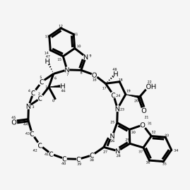 C[C@@H]1CN2CC[C@H]1n1c(nc3ccccc31)O[C@H]1C[C@@H](C(=O)O)N(C1)c1nc(nc3c1oc1ccccc13)CCCCCCC2=O